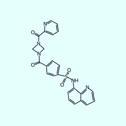 O=C(c1ccc(S(=O)(=O)Nc2cccc3cccnc23)cc1)N1CN(C(=O)c2ccccn2)C1